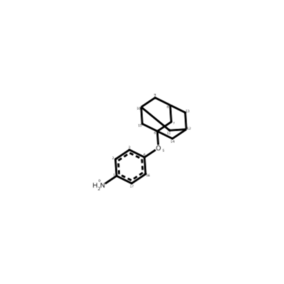 Nc1ccc(OC23CC4CC(CC(C4)C2)C3)cc1